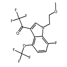 COCCn1cc(C(=O)C(F)(F)F)c2c(OC(F)(F)F)ccc(F)c21